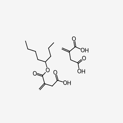 C=C(CC(=O)O)C(=O)O.C=C(CC(=O)O)C(=O)OC(CCC)CCCC